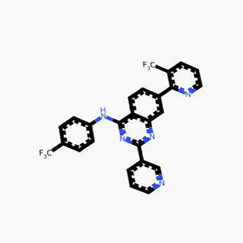 FC(F)(F)c1ccc(Nc2nc(-c3cccnc3)nc3cc(-c4ncccc4C(F)(F)F)ccc23)cc1